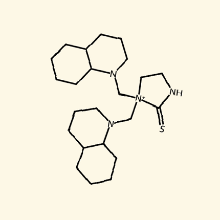 S=C1NCC[N+]1(CN1CCCC2CCCCC21)CN1CCCC2CCCCC21